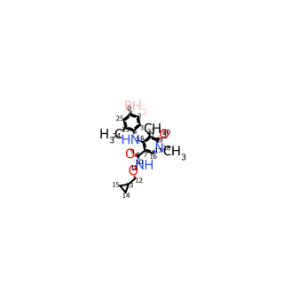 Bc1ccc(Nc2c(C(=O)NOCC3CC3)cn(C)c(=O)c2C)c(C)c1